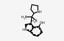 BC(B)(c1c[nH]c2cccc(O)c12)C1CCCN1